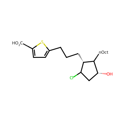 CCCCCCCCC1[C@@H](CCCc2ccc(C(=O)O)s2)C(Cl)C[C@H]1O